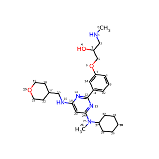 CNCC(O)COc1cccc(-c2nc(NCC3CCOCC3)cc(N(C)C3CCCCC3)n2)c1